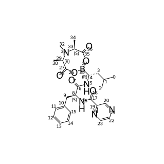 CC(C)C[C@H](NC(=O)[C@H](Cc1ccccc1)NC(=O)c1cnccn1)B1OC(=O)[C@@H](C)N(C)[C@@H](C)C(=O)O1